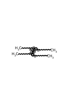 CCCCCCCCCCCCOc1ccc(OCCCCCCCCCCCC)c(S(=O)(=O)C(=[N+]=[N-])S(=O)(=O)c2cc(OCCCCCCCCCCCC)ccc2OCCCCCCCCCCCC)c1